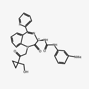 CNc1cccc(NC(=O)N[C@@H]2N=C(c3ccccn3)c3ccccc3N(CC(=O)C3(CO)CC3)C2=O)c1